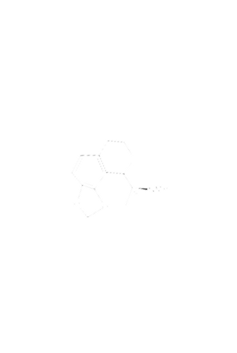 CN[C@@H](C)C1OCCc2ccc3c(c21)OCO3